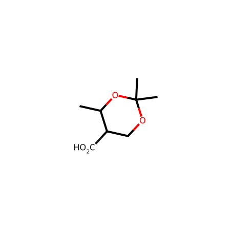 CC1OC(C)(C)OCC1C(=O)O